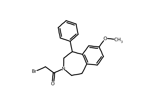 COc1ccc2c(c1)C(c1ccccc1)CN(C(=O)CBr)CC2